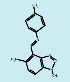 Cc1ccc(N=Nc2c(N)ccc3c2nnn3C)cc1